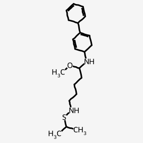 COC(CCCCNSC(C)C)NC1C=CC(C2C=CC=CC2)=CC1